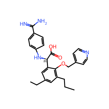 CCCc1cc(CC)cc([C@@H](Nc2ccc(C(=N)N)cc2)C(=O)O)c1OCc1ccncc1